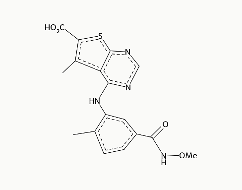 CONC(=O)c1ccc(C)c(Nc2ncnc3sc(C(=O)O)c(C)c23)c1